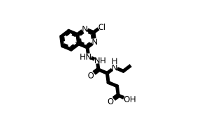 CCNC(CCC(=O)O)C(=O)NNc1nc(Cl)nc2ccccc12